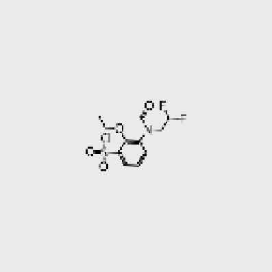 CCOc1c(N(C=O)CC(F)F)cccc1S(=O)(=O)Cl